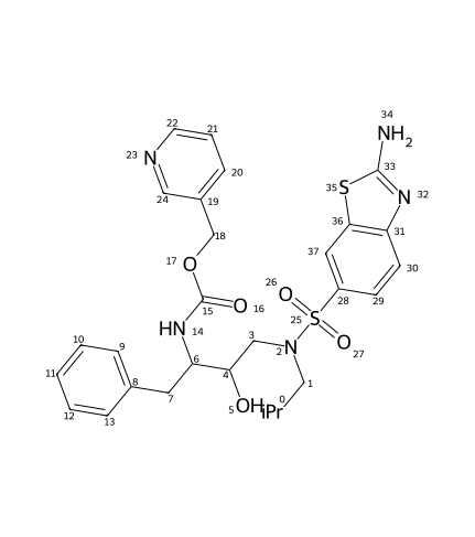 CC(C)CN(CC(O)C(Cc1ccccc1)NC(=O)OCc1cccnc1)S(=O)(=O)c1ccc2nc(N)sc2c1